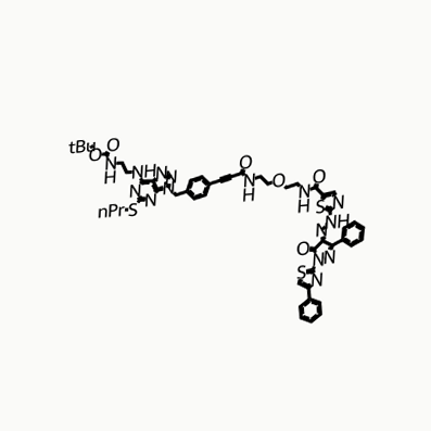 CCCSc1nc(NCCNC(=O)OC(C)(C)C)c2nnn(Cc3ccc(C#CC(=O)NCCOCCNC(=O)c4cnc(N/N=C5/C(=O)N(c6nc(-c7ccccc7)cs6)N=C5c5ccccc5)s4)cc3)c2n1